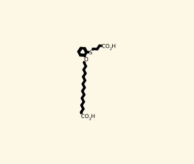 O=C(O)CCCCCCCCCCCCCCCOc1ccccc1SCCCC(=O)O